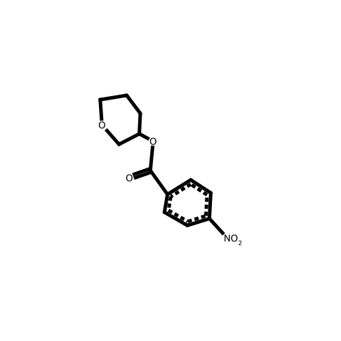 O=C(OC1CCCOC1)c1ccc([N+](=O)[O-])cc1